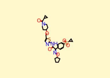 O=C(Nc1ncc(COC2CCN(C(=O)C3CC3)CC2)s1)/C(=N/OC1CCCC1)c1ccc(S(=O)(=O)C2CC2)cc1